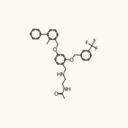 CC(=O)NCCNCc1ccc(OCc2cccc(-c3ccccc3)c2C)cc1OCc1cccc(C(F)(F)F)c1